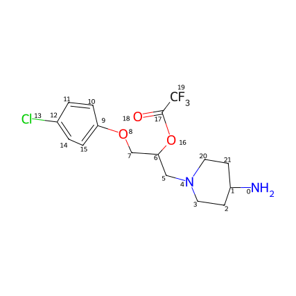 NC1CCN(CC(COc2ccc(Cl)cc2)OC(=O)C(F)(F)F)CC1